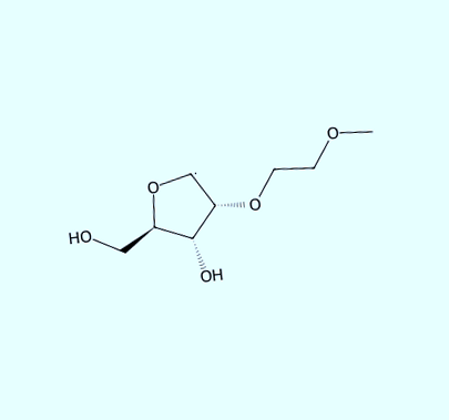 COCCO[C@H]1[CH]O[C@H](CO)[C@H]1O